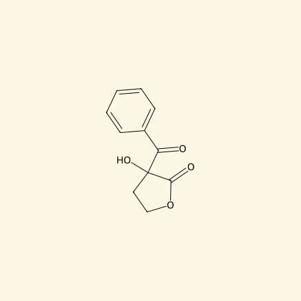 O=C1OCCC1(O)C(=O)c1ccccc1